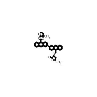 CC1CC(OCc2c3ccccc3cc3cc(-c4ccc5c(COC6(C)CCOC6=O)c6ccccc6cc5c4)ccc23)C(=O)O1